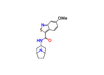 COc1ccc2c(C(=O)NC3CC4CCC(C3)N4C)snc2c1